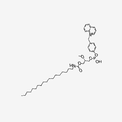 CCCCCCCCCCCCCCCCCCNC(=O)OCC(COP(O)Oc1ccc(C[n+]2cccc3ccccc32)cc1)OC